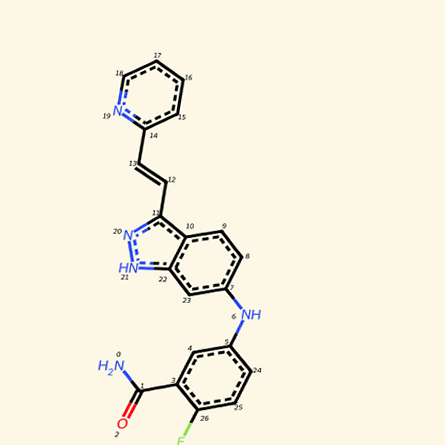 NC(=O)c1cc(Nc2ccc3c(C=Cc4ccccn4)n[nH]c3c2)ccc1F